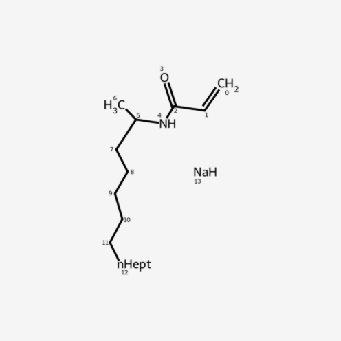 C=CC(=O)NC(C)CCCCCCCCCCCC.[NaH]